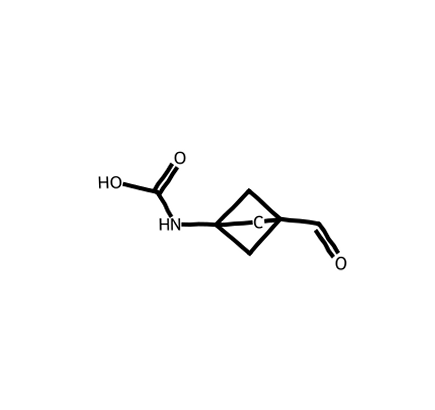 O=CC12CC(NC(=O)O)(C1)C2